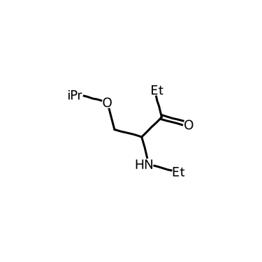 CCNC(COC(C)C)C(=O)CC